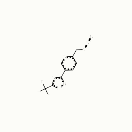 [N-]=[N+]=NCc1ccc(-c2noc(C(F)(F)F)n2)cn1